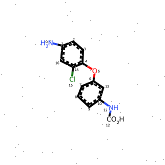 Nc1ccc(Oc2cccc(NC(=O)O)c2)c(Cl)c1